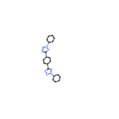 c1ccc(-n2nnc(-c3ccc(-c4nnn(-c5ccccc5)n4)cc3)n2)cc1